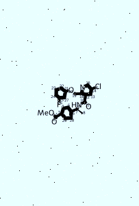 COC(=O)c1ccc([C@H](C)NC(=O)c2cc(Cl)cnc2COc2cccc(F)c2)cc1